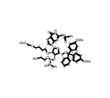 CCCCCCCCCCCCCCCCO[C@@H]1[C@H](OP(OCCC#N)N(C(C)C)C(C)C)[C@@H](COC(c2ccccc2)(c2ccc(OC)cc2)c2ccc(OC)cc2)O[C@H]1n1cnc2c(=O)[nH]c(NC(=O)C(C)C)nc21